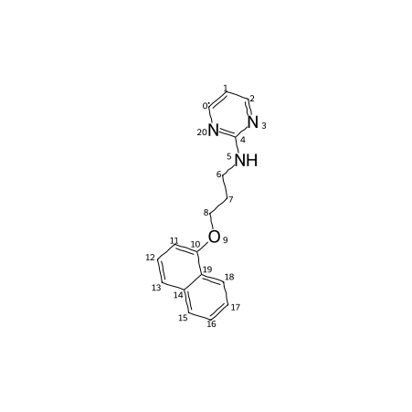 [c]1ccnc(NCCCOc2cccc3ccccc23)n1